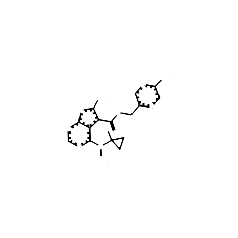 Cc1cnc(CNC(=O)c2c(C)oc3ncnc(N(C)C4(C)CC4)c23)cn1